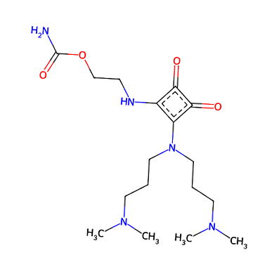 CN(C)CCCN(CCCN(C)C)c1c(NCCOC(N)=O)c(=O)c1=O